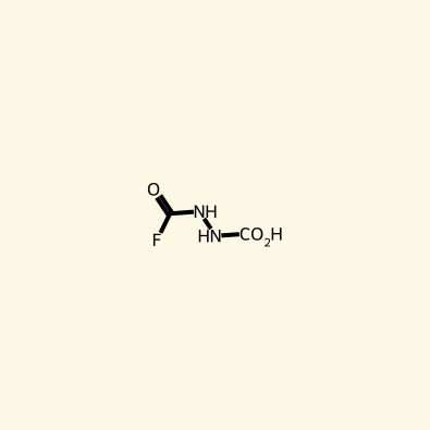 O=C(O)NNC(=O)F